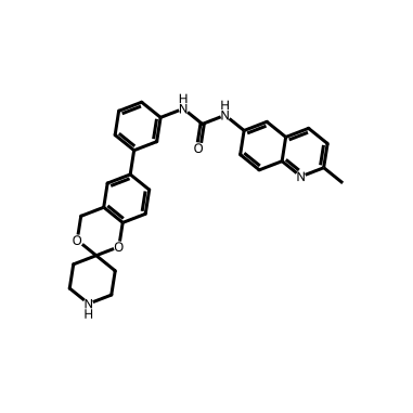 Cc1ccc2cc(NC(=O)Nc3cccc(-c4ccc5c(c4)COC4(CCNCC4)O5)c3)ccc2n1